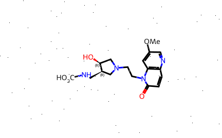 COc1cnc2ccc(=O)n(CCN3C[C@@H](CNC(=O)O)[C@@H](O)C3)c2c1